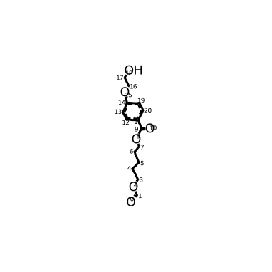 O=COCCCCCOC(=O)c1ccc(OCCO)cc1